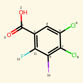 O=C(O)c1cc(Cl)c(Cl)c(I)c1F